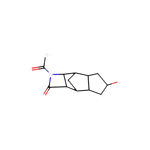 CC(C)(C)C(=O)N1C(=O)C2C3CC(C4CC(O)CC43)C21